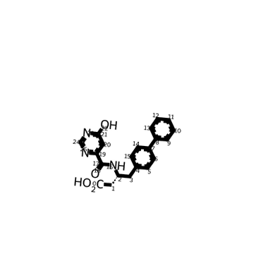 O=C(O)C[C@@H](Cc1ccc(-c2ccccc2)cc1)NC(=O)c1cc(O)ncn1